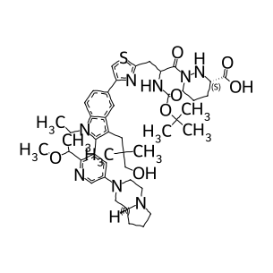 CCn1c(-c2cc(N3CCN4CCC[C@@H]4C3)cnc2C(C)OC)c(CC(C)(C)CO)c2cc(-c3csc(CC(NC(=O)OC(C)(C)C)C(=O)N4CCC[C@@H](C(=O)O)N4)n3)ccc21